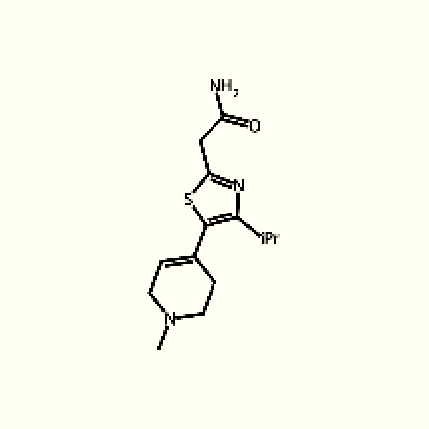 CC(C)c1nc(CC(N)=O)sc1C1=CCN(C)CC1